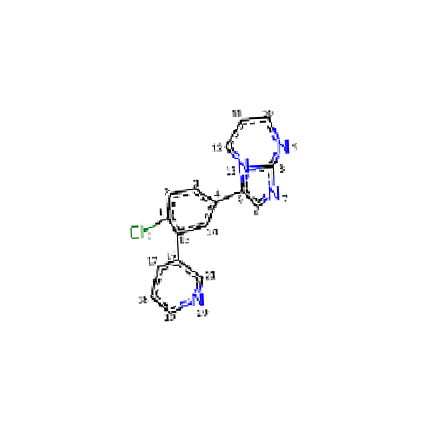 Clc1ccc(-c2cnc3ncccn23)cc1-c1cccnc1